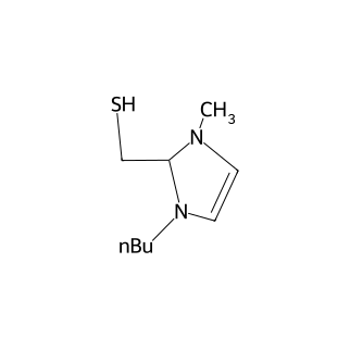 CCCCN1C=CN(C)C1CS